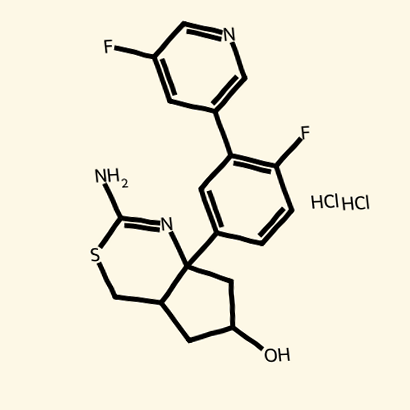 Cl.Cl.NC1=NC2(c3ccc(F)c(-c4cncc(F)c4)c3)CC(O)CC2CS1